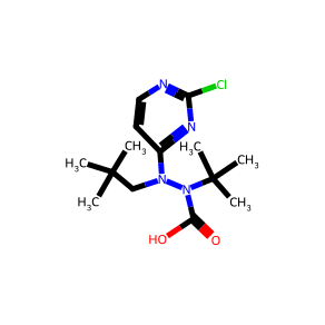 CC(C)(C)CN(c1ccnc(Cl)n1)N(C(=O)O)C(C)(C)C